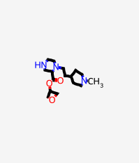 CN1CCC(CCN2CCNCC2C(=O)OC2COC2)CC1